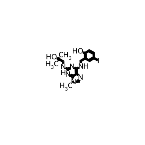 Cn1cnc2c(NCc3cc(I)ccc3O)nc(NCC(C)(C)O)nc21